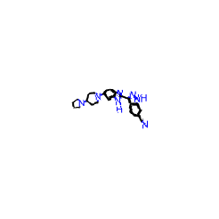 N#Cc1ccc2c(-c3nc4ccc(N5CCC(N6CCCC6)CC5)cc4[nH]3)n[nH]c2c1